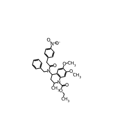 CCOC(=O)N1c2cc(OC)c(OC)cc2C(N(Cc2ccccc2)C(=O)Cc2ccc([N+](=O)[O-])cc2)CC1C